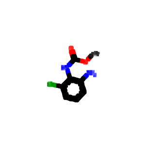 CCCOC(=O)Nc1c(N)cccc1Cl